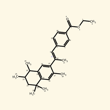 CCOC(=O)c1ccc(/C=C(\C)c2cc3c(cc2C)C(C)(C)CC(C)C3C)cc1